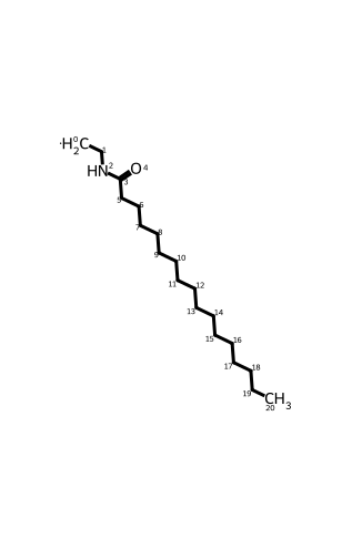 [CH2]CNC(=O)CCCCCCCCCCCCCCCC